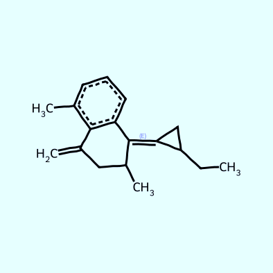 C=C1CC(C)/C(=C2/CC2CC)c2cccc(C)c21